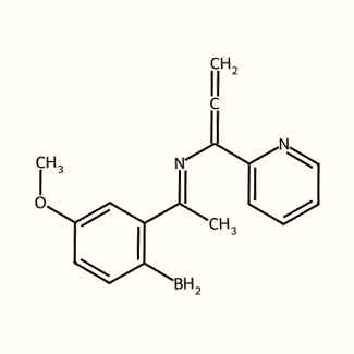 Bc1ccc(OC)cc1/C(C)=N/C(=C=C)c1ccccn1